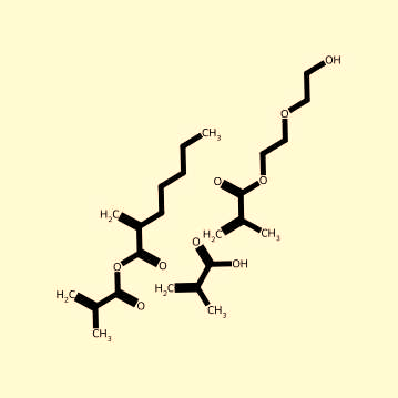 C=C(C)C(=O)O.C=C(C)C(=O)OC(=O)C(=C)CCCCC.C=C(C)C(=O)OCCOCCO